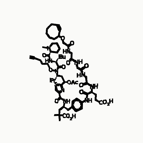 C#CCCCON(C(=O)[C@@H](NC(=O)[C@H]1CCCCN1C)[C@@H](C)CC)[C@H](C[C@@H](OC(C)=O)c1nc(C(=O)N[C@@H](Cc2ccc(NC(=O)[C@H](CCC(=O)O)NC(=O)CNC(=O)CNC(=O)CNC(=O)COC3C#CCCCCC3)cc2)CC(C)(C)C(=O)O)cs1)C(C)C